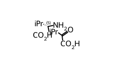 CC(C)C(=O)C(=O)O.CC(C)[C@H](N)C(=O)O